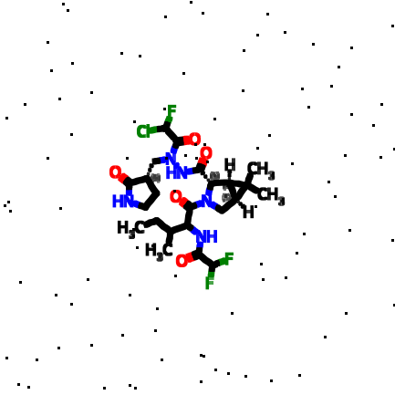 CCC(C)C(NC(=O)C(F)F)C(=O)N1C[C@H]2[C@@H]([C@H]1C(=O)NN(C[C@@H]1CCNC1=O)C(=O)C(F)Cl)C2(C)C